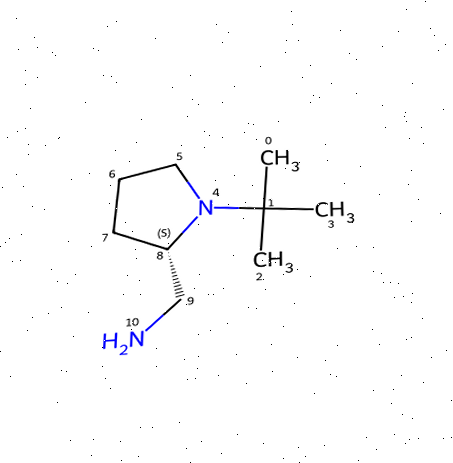 CC(C)(C)N1CCC[C@H]1CN